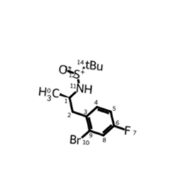 C[C@H](Cc1ccc(F)cc1Br)N[S@+]([O-])C(C)(C)C